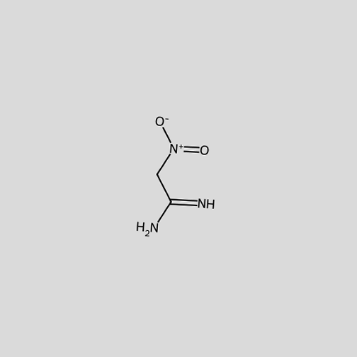 N=C(N)C[N+](=O)[O-]